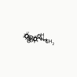 C=CCNCC(=O)c1ccc(OS(=O)(=O)c2ccccc2)cc1